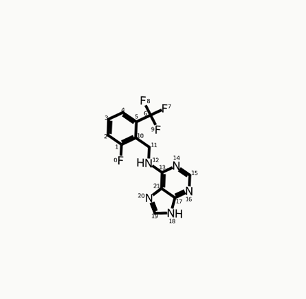 Fc1cccc(C(F)(F)F)c1CNc1ncnc2[nH]cnc12